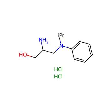 CC(C)N(CC(N)CO)c1ccccc1.Cl.Cl